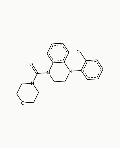 O=C(N1CCOCC1)N1CCN(c2ccccc2Cl)c2ccccc21